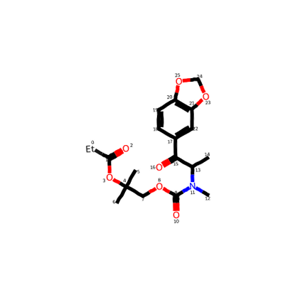 CCC(=O)OC(C)(C)COC(=O)N(C)C(C)C(=O)c1ccc2c(c1)OCO2